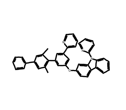 Cc1cc(-c2ccccc2)cc(C)c1-c1cc(Oc2ccc3c4ccccc4n(-c4ccccn4)c3c2)cc(-c2ccccn2)c1